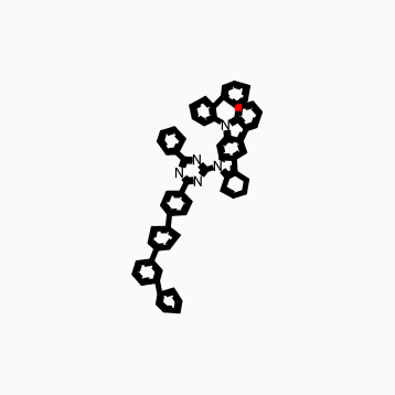 C1=Cc2c(c3cc4c5ccccc5n(-c5ccccc5-c5ccccc5)c4cc3n2-c2nc(-c3ccccc3)nc(-c3ccc(-c4ccc(-c5cccc(-c6ccccc6)c5)cc4)cc3)n2)CC1